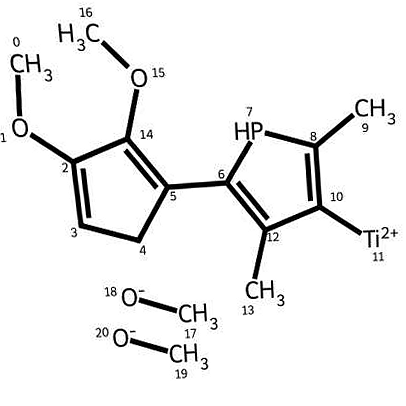 COC1=CCC(c2[pH]c(C)[c]([Ti+2])c2C)=C1OC.C[O-].C[O-]